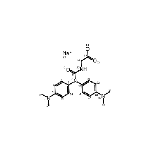 CN(C)c1ccc(N(C(=O)NCC(=O)[O-])c2ccc(N(C)C)cc2)cc1.[Na+]